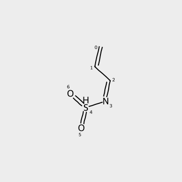 C=C/C=N\[SH](=O)=O